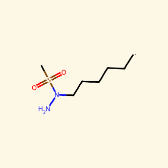 [CH2]CCCCCN(N)S(C)(=O)=O